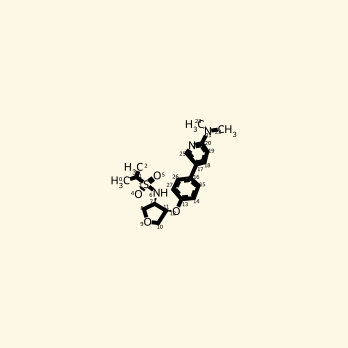 CC(C)S(=O)(=O)N[C@H]1COC[C@H]1Oc1ccc(-c2ccc(N(C)C)nc2)cc1